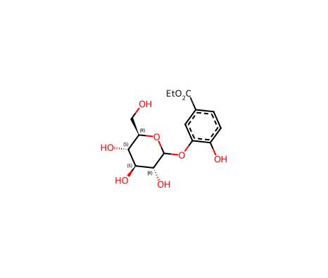 CCOC(=O)c1ccc(O)c(OC2O[C@H](CO)[C@@H](O)[C@H](O)[C@H]2O)c1